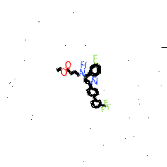 CCOC(=O)CCCNc1cc(-c2ccc(-c3cccc(C(F)(F)F)c3)cc2)nc2ccc(F)cc12